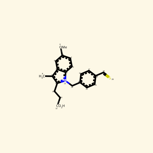 COc1ccc2c(c1)c(C)c(CCC(=O)O)n2Cc1ccc(C=S)cc1